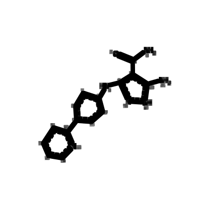 NC(=O)c1c(Nc2ccc(-c3ccccn3)cc2)n[nH]c1N